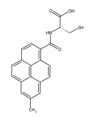 Cc1cc2ccc3ccc(C(=O)N[C@@H](CS)C(=O)O)c4ccc(c1)c2c34